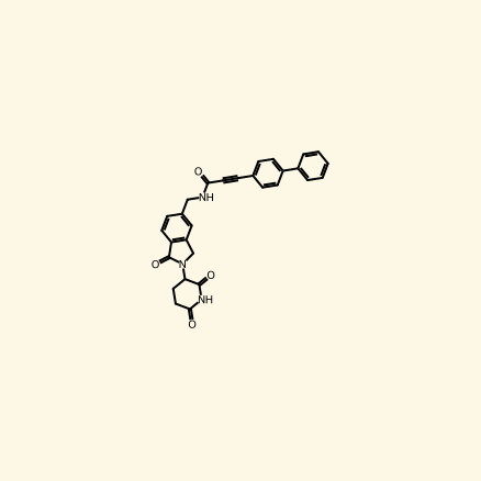 O=C(C#Cc1ccc(-c2ccccc2)cc1)NCc1ccc2c(c1)CN(C1CCC(=O)NC1=O)C2=O